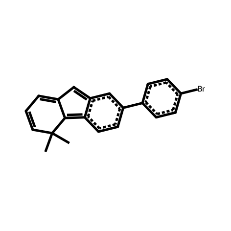 CC1(C)C=CC=C2C=c3cc(-c4ccc(Br)cc4)ccc3=C21